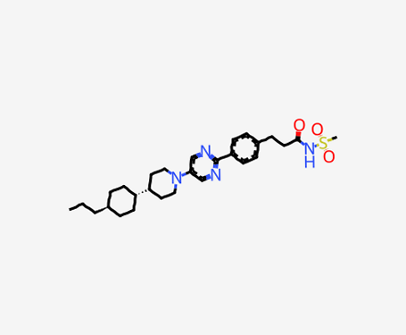 CCC[C@H]1CC[C@H](C2CCN(c3cnc(-c4ccc(CCC(=O)NS(C)(=O)=O)cc4)nc3)CC2)CC1